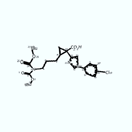 CC(C)(C)OC(=O)N(CCCC1CC1(C(=O)O)c1cn(-c2ccc(Cl)cc2)cn1)C(=O)OC(C)(C)C